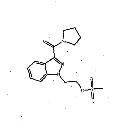 CS(=O)(=O)OCCn1nc(C(=O)N2CCCC2)c2ccccc21